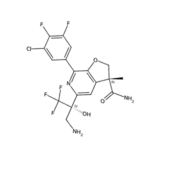 C[C@]1(C(N)=O)COc2c1cc([C@@](O)(CN)C(F)(F)F)nc2-c1cc(F)c(F)c(Cl)c1